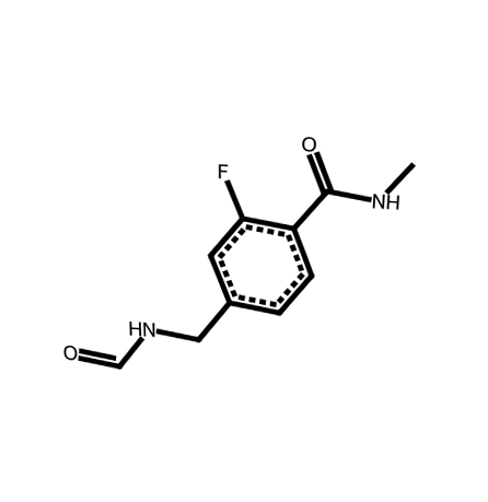 CNC(=O)c1ccc(CNC=O)cc1F